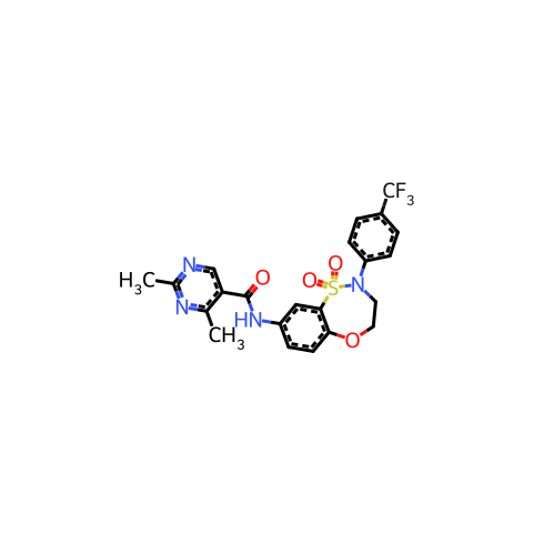 Cc1ncc(C(=O)Nc2ccc3c(c2)S(=O)(=O)N(c2ccc(C(F)(F)F)cc2)CCO3)c(C)n1